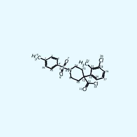 Cc1ccc(S(=O)(=O)N2CCC(C(=O)Cl)(c3cccc(Cl)c3C)CC2)cc1